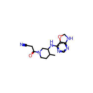 CC1CCN(C(=O)CC#N)CC1Nc1ncnc2c1OCN2